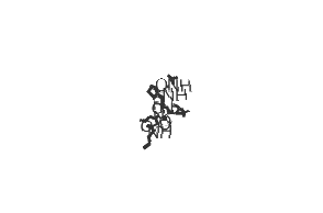 C=CCNC(=O)C(=O)C(CCC)NC(=O)[C@@H]1C2C(CN1C(=O)[C@@H](NC(=O)NC(C)C)C1CCCC1)C2(C)C